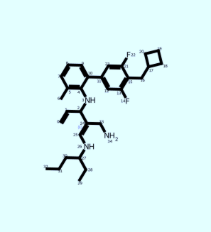 C=CC(Nc1c(C)cccc1-c1cc(F)c(CC2CCC2)c(F)c1)/C(=C/NC(CC)CCC)CN